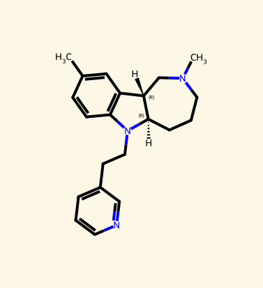 Cc1ccc2c(c1)[C@@H]1CN(C)CCC[C@H]1N2CCc1cccnc1